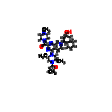 C=CC(=O)N1C[C@H](C)N(c2nc(C(=O)N3CCN(C)CC3)nc3c2CCN(c2cc(O)cc4ccccc24)C3)C[C@H]1C